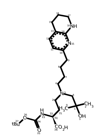 CC(C)(O)CN(CCCCc1ccc2c(n1)NCCC2)CC[C@H](NC(=O)OC(C)(C)C)C(=O)O